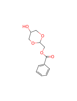 O=C(OCC1OCC(O)CO1)c1ccccc1